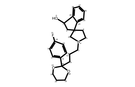 OC1CC2(CCN(CCCC3(c4ccc(F)cc4)OCCCO3)C2)c2ccccc21